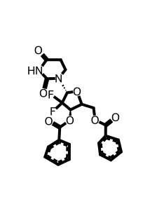 O=C1CCN([C@@H]2OC(COC(=O)c3ccccc3)[C@@H](OC(=O)c3ccccc3)C2(F)F)C(=O)N1